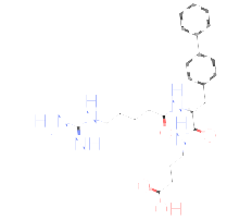 N=C(N)NCCCCC(=O)N[C@@H](Cc1ccc(-c2ccccc2)cc1)C(=O)NCCCC(=O)O